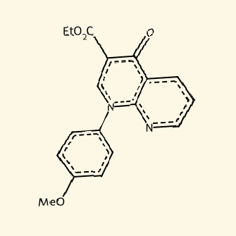 CCOC(=O)c1cn(-c2ccc(OC)cc2)c2ncccc2c1=O